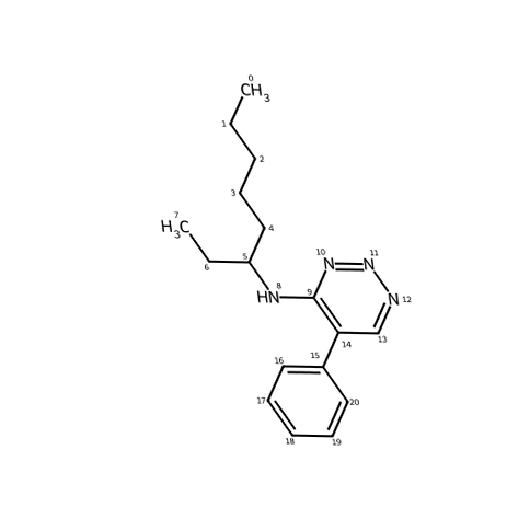 CCCCCC(CC)Nc1nnncc1-c1ccccc1